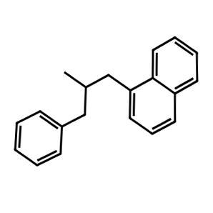 CC(Cc1ccccc1)Cc1cccc2ccccc12